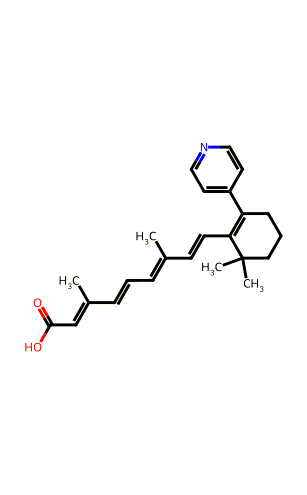 CC(/C=C/C1=C(c2ccncc2)CCCC1(C)C)=C\C=C\C(C)=C\C(=O)O